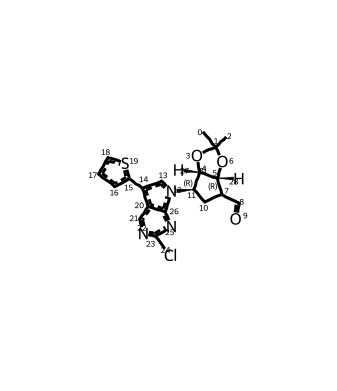 CC1(C)O[C@@H]2[C@H](O1)C(C=O)C[C@H]2n1cc(-c2cccs2)c2cnc(Cl)nc21